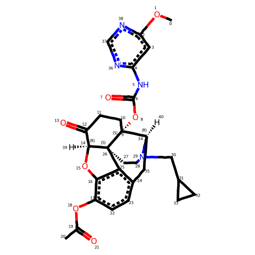 COc1cc(NC(=O)O[C@@]23CCC(=O)[C@@H]4Oc5c(OC(C)=O)ccc6c5[C@@]42CCN(CC2CC2)[C@@H]3C6)ncn1